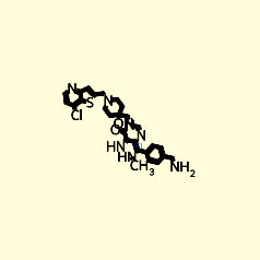 CN/C(=C1/N=CN(CC2(O)CCN(Cc3cc4nccc(Cl)c4s3)CC2)C(=O)C1=N)c1ccc(CN)cc1